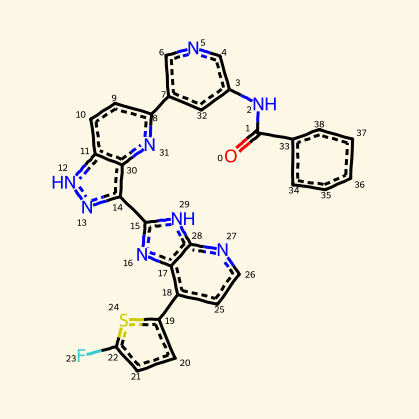 O=C(Nc1cncc(-c2ccc3[nH]nc(-c4nc5c(-c6ccc(F)s6)ccnc5[nH]4)c3n2)c1)c1ccccc1